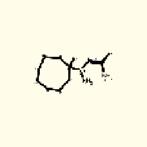 C/C(N)=C/N(N)C1(C)CCCCCCC1